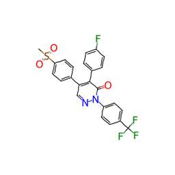 CS(=O)(=O)c1ccc(-c2cnn(-c3ccc(C(F)(F)F)cc3)c(=O)c2-c2ccc(F)cc2)cc1